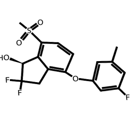 Cc1cc(F)cc(Oc2ccc(S(C)(=O)=O)c3c2CC(F)(F)[C@H]3O)c1